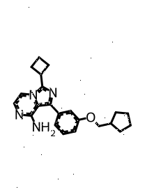 Nc1nccn2c(C3CCC3)nc(-c3cccc(OCC4CCCC4)c3)c12